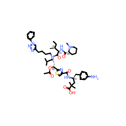 CC[C@H](C)[C@H](NC(=O)[C@H]1CCCCN1C)C(=O)N(CCCCc1cn(-c2ccccc2)nn1)[C@H](C[C@@H](OC(C)=O)c1nc(C(=O)N[C@@H](Cc2ccc(N)cc2)CC(C)(C)C(=O)O)cs1)C(C)C